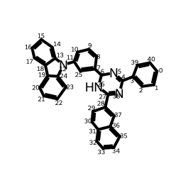 c1ccc(C2=NC(c3cccc(-n4c5ccccc5c5ccccc54)c3)NC(c3ccc4ccccc4c3)=N2)cc1